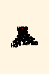 CC(=O)c1cc(C(C)(c2cc(C)c(O)c(C)c2)c2cc(C)c(N=O)c(C)c2)cc(C(C)(c2cc(C)c(O)c(C)c2)c2cc(C)c(N=O)c(C)c2)c1